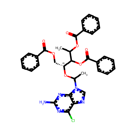 CC(OC(=O)c1ccccc1)C(OC(=O)c1ccccc1)[C@@H](COC(=O)c1ccccc1)OC(C)n1cnc2c(Cl)nc(N)nc21